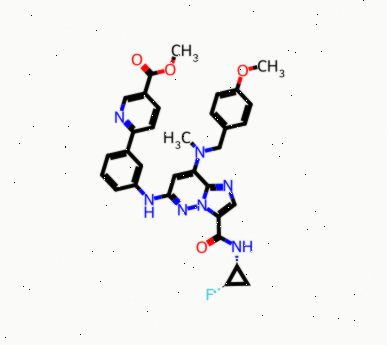 COC(=O)c1ccc(-c2cccc(Nc3cc(N(C)Cc4ccc(OC)cc4)c4ncc(C(=O)N[C@@H]5C[C@@H]5F)n4n3)c2)nc1